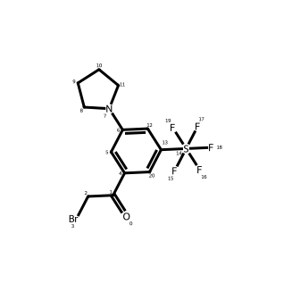 O=C(CBr)c1cc(N2CCCC2)cc(S(F)(F)(F)(F)F)c1